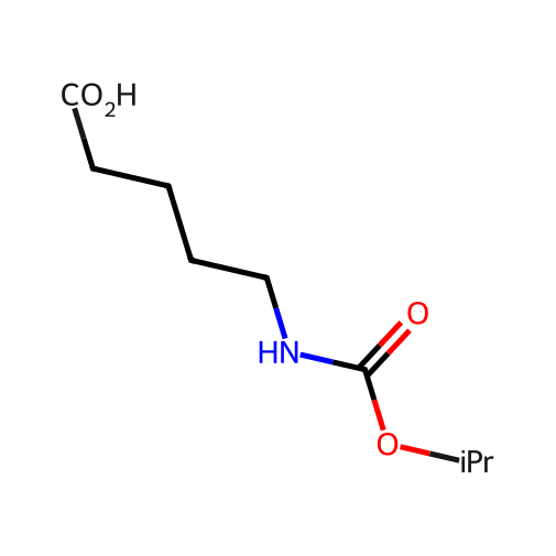 CC(C)OC(=O)NCCCCC(=O)O